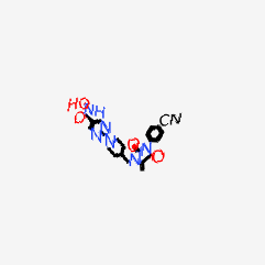 CC1C(=O)N(c2ccc(C#N)cc2)C(=O)N1CC1CCN(c2ncc(C(=O)NO)cn2)CC1